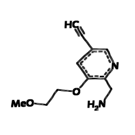 C#Cc1cnc(CN)c(OCCOC)c1